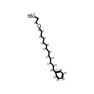 CC(C)(C)CCOCCCCCCCCCCCCCc1ccccc1